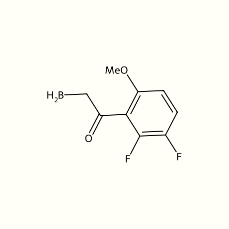 BCC(=O)c1c(OC)ccc(F)c1F